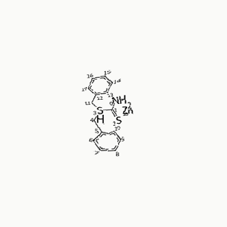 NC(=S)[SH](Cc1ccccc1)Cc1ccccc1.[Zn]